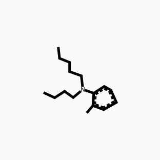 CCCCCN(CCCC)c1ccccc1C